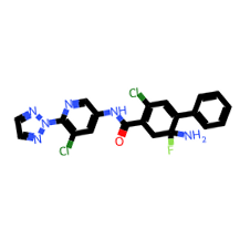 NC1(F)CC(C(=O)Nc2cnc(-n3nccn3)c(Cl)c2)=C(Cl)C=C1c1ccccc1